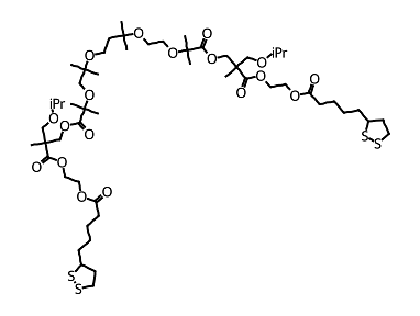 CC(C)OCC(C)(COC(=O)C(C)(C)OCCOC(C)(C)CCOC(C)(C)COC(C)(C)C(=O)OCC(C)(COC(C)C)C(=O)OCCOC(=O)CCCCC1CCSS1)C(=O)OCCOC(=O)CCCCC1CCSS1